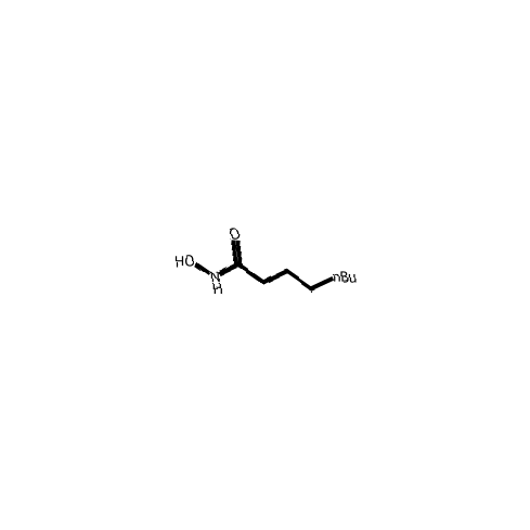 CCCC[CH]CCC(=O)NO